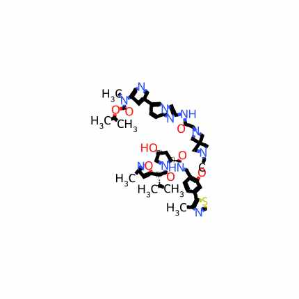 Cc1cc([C@H](C(=O)N2C[C@H](O)C[C@H]2C(=O)NCc2ccc(-c3scnc3C)cc2OCCN2CC3(C2)CN(CC(=O)Nc2cn4cc(-c5cncc(N(C)C(=O)OC(C)C)c5)ccc4n2)C3)C(C)C)on1